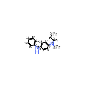 CC(C)CC(C)N(c1ccc(Nc2ccccc2)cc1)C(C)C